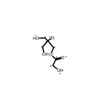 CCC(CO)(CO)COC(=O)CO